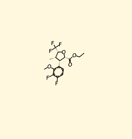 CCOC(=O)[C@H]1O[C@@H](C(F)(F)F)[C@@H](C)[C@H]1c1ccc(F)c(F)c1OC